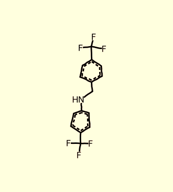 FC(F)(F)c1ccc(CNc2ccc(C(F)(F)F)cc2)cc1